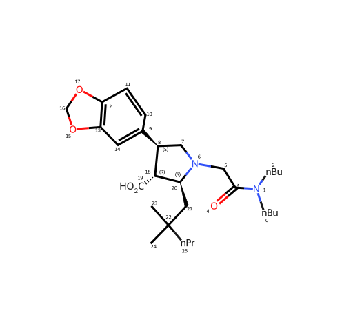 CCCCN(CCCC)C(=O)CN1C[C@H](c2ccc3c(c2)OCO3)[C@@H](C(=O)O)[C@@H]1CC(C)(C)CCC